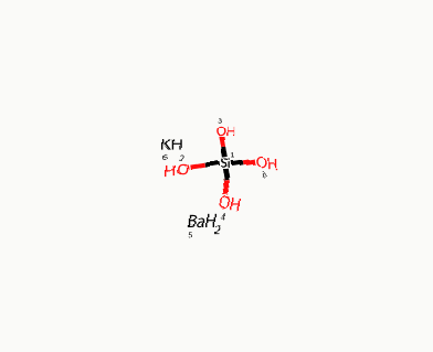 O[Si](O)(O)O.[BaH2].[KH]